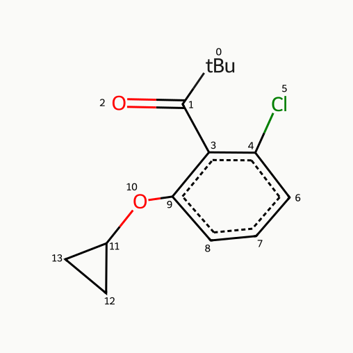 CC(C)(C)C(=O)c1c(Cl)cccc1OC1CC1